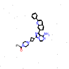 CC(C)C(=O)N1CCN([C@H]2C[C@@H](c3nc(-c4ccc5ccc(-c6ccccc6)nc5c4)c4c(N)nccn43)C2)CC1